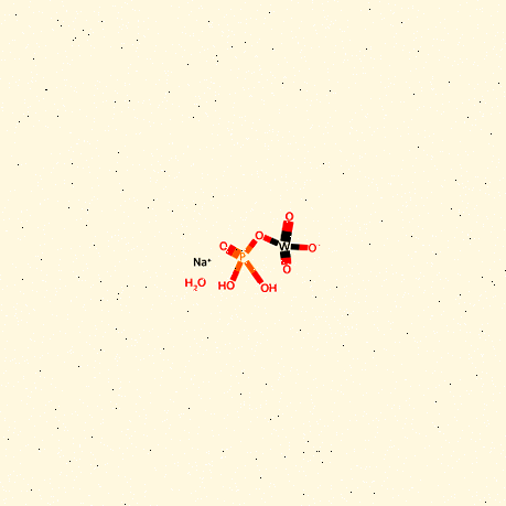 O.O=P(O)(O)[O][W](=[O])(=[O])[O-].[Na+]